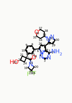 Nc1ncnn2c(-c3cccc([C@]4(C(=O)N5CC(F)(F)C5)C[C@@H](O)C4)c3)cc(-c3ccnn3C3CCOCC3)c12